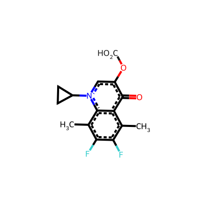 Cc1c(F)c(F)c(C)c2c1c(=O)c(OC(=O)O)cn2C1CC1